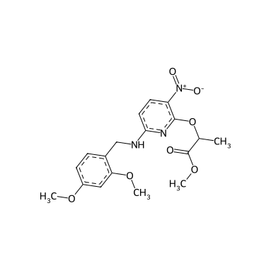 COC(=O)C(C)Oc1nc(NCc2ccc(OC)cc2OC)ccc1[N+](=O)[O-]